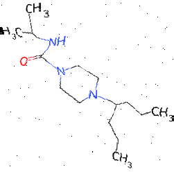 CCCC(CCC)N1CCN(C(=O)NC(C)C)CC1